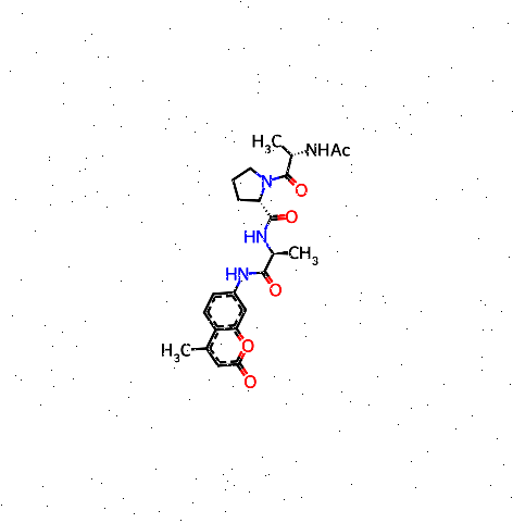 CC(=O)N[C@@H](C)C(=O)N1CCC[C@H]1C(=O)N[C@@H](C)C(=O)Nc1ccc2c(C)cc(=O)oc2c1